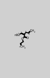 C=CCOC(=O)C(=CCCCC)CC=C